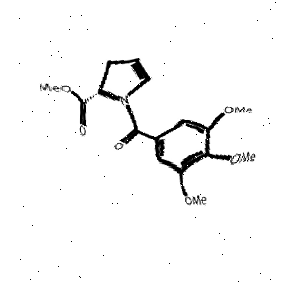 COC(=O)[C@@H]1CC=CN1C(=O)c1cc(OC)c(OC)c(OC)c1